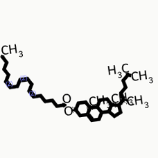 CCCCC/C=C\C/C=C\C/C=C\CCCCC(=O)O[C@H]1CC[C@@]2(C)C(=CCC3C4CCC([C@H](C)CCCC(C)C)[C@@]4(C)CCC32)C1